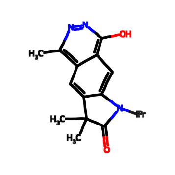 Cc1nnc(O)c2cc3c(cc12)C(C)(C)C(=O)N3C(C)C